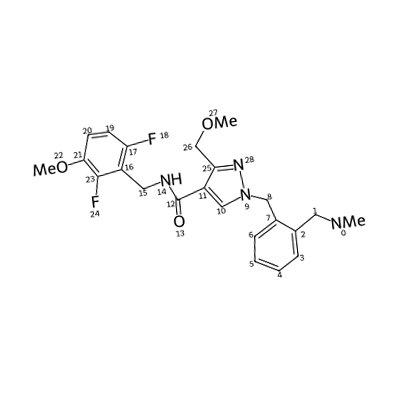 CNCc1ccccc1Cn1cc(C(=O)NCc2c(F)ccc(OC)c2F)c(COC)n1